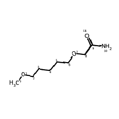 COCCCCCOCC(N)=O